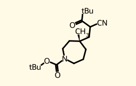 CC(C)(C)OC(=O)N1CCC[C@@](C)(CC(C#N)C(=O)C(C)(C)C)CC1